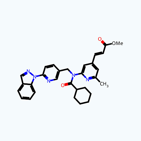 COC(=O)/C=C/c1cc(C)nc(N(Cc2ccc(-n3ncc4ccccc43)nc2)C(=O)C2CCCCC2)c1